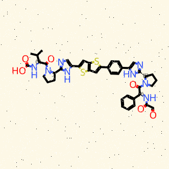 CC(C)[C@H](NC(=O)O)C(=O)N1CCCC1c1ncc(-c2cc3sc(-c4ccc(-c5cnc([C@@H]6CCCN6C(=O)[C@H](NC(=O)C=O)c6ccccc6)[nH]5)cc4)cc3s2)[nH]1